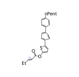 CC/C=C/C(=O)Oc1ccc(-c2ccc(-c3ccc(CCCCC)cc3)cc2)s1